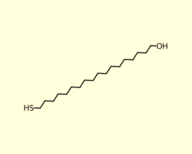 OCCCCCCCCCCCCCCCCCCS